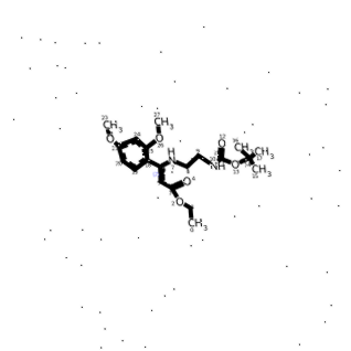 CCOC(=O)/C=C(\NCCNC(=O)OC(C)(C)C)c1ccc(OC)cc1OC